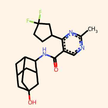 Cc1ncc(C(=O)NC2C3CC4CC2CC(O)(C4)C3)c(C2CCC(F)(F)C2)n1